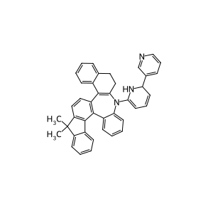 CC1(C)c2ccccc2-c2c1ccc1c2-c2ccccc2N(C2=CC=CC(c3cccnc3)N2)C2=C1c1ccccc1CC2